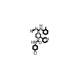 Cc1ccccc1N/C(=N/C#N)N1CCN(C(=O)Nc2ccc(Cl)cc2)C(c2cccnc2)C1